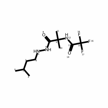 CC(C)CCNNC(=O)C(C)(C)NC(=O)C(F)(F)F